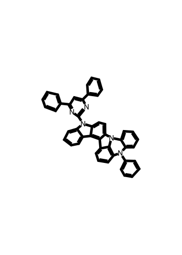 c1ccc(-c2cc(-c3ccccc3)nc(-n3c4ccccc4c4c5c6cccc7c6n(c5ccc43)-c3ccccc3N7c3ccccc3)n2)cc1